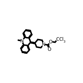 CN1c2ccccc2C(=C2CCN(C(=O)OCC(Cl)(Cl)Cl)CC2)c2ccccc21